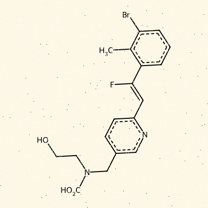 Cc1c(Br)cccc1C(F)=Cc1ccc(CN(CCO)C(=O)O)cn1